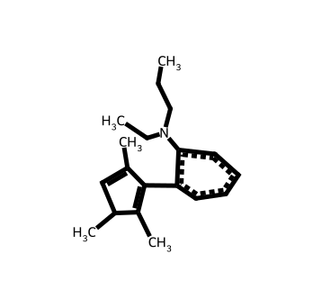 CCCN(CC)c1ccccc1C1=C(C)C(C)C=C1C